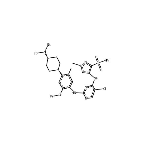 CCN(CC)[C@H]1CC[C@@H](c2cc(OC(C)C)c(Nc3ncc(Cl)c(Nc4cn(C)nc4S(=O)(=O)C(C)C)n3)cc2C)CC1